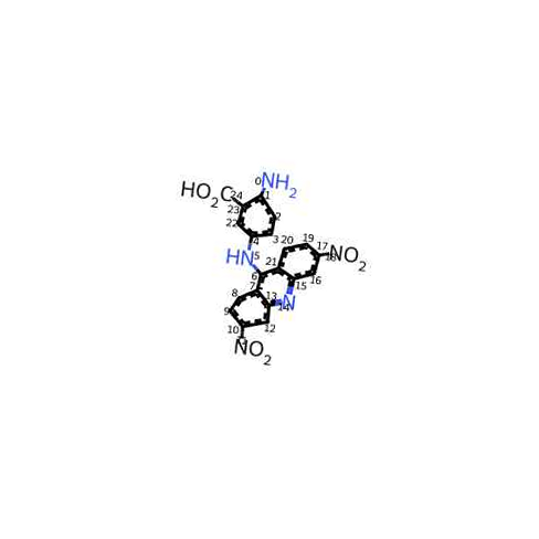 Nc1ccc(Nc2c3ccc([N+](=O)[O-])cc3nc3cc([N+](=O)[O-])ccc23)cc1C(=O)O